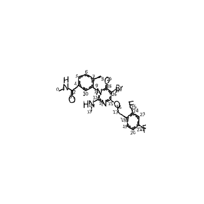 CNC(=O)c1ccc(C)c(-n2c(NC)nc(OCc3ccc(F)cc3F)c(Br)c2=O)c1